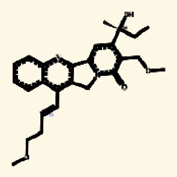 CC[C@](C)(O)c1cc2n(c(=O)c1COC)Cc1c-2nc2ccccc2c1/C=C/CCOC